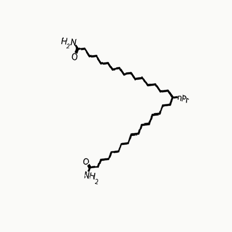 CCCC(CCCCCCCCCCCCCCCC(N)=O)CCCCCCCCCCCCCCCC(N)=O